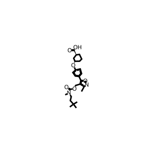 Cc1noc(-c2ccc(O[C@H]3CCC[C@H](C(=O)O)C3)cc2)c1COC(=O)N(C)CCC(C)(C)C